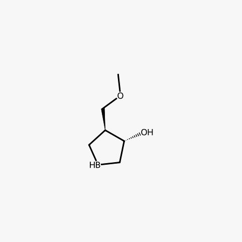 COC[C@@H]1CBC[C@H]1O